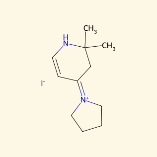 CC1(C)CC(=[N+]2CCCC2)C=CN1.[I-]